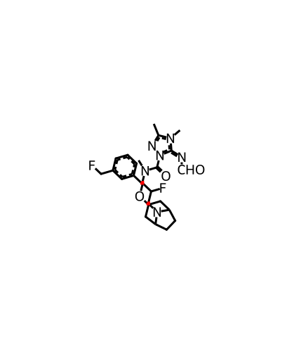 Cc1nn(C(=O)N(C)CC(F)CN2C3CCC2CC(OCc2cccc(CF)c2)C3)/c(=N\C=O)n1C